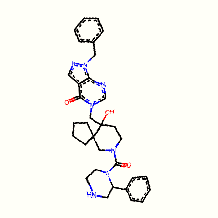 O=C(N1CCC(O)(Cn2cnc3c(cnn3Cc3ccccc3)c2=O)C2(CCCC2)C1)N1CCNCC1c1ccccc1